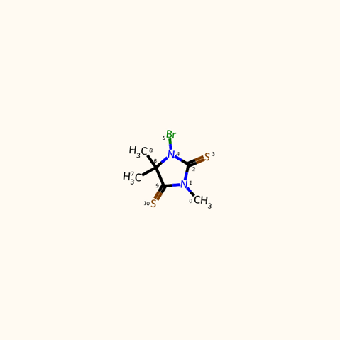 CN1C(=S)N(Br)C(C)(C)C1=S